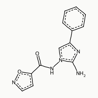 Nc1nc(-c2ccccc2)cn1NC(=O)c1ccno1